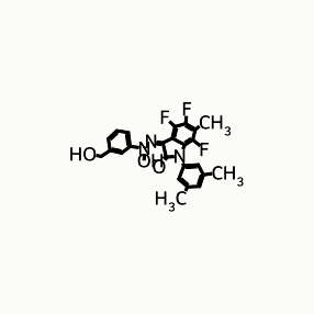 Cc1cc(C)cc(N2C(=O)C(=NN(O)c3cccc(CO)c3)c3c(F)c(F)c(C)c(F)c32)c1